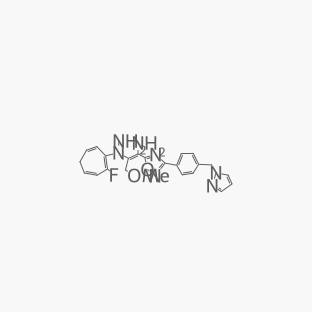 COC/C(=C(/N)c1nc(-c2ccc(Cn3cccn3)cc2)no1)N(N)C1=C(F)C=CCC=C1